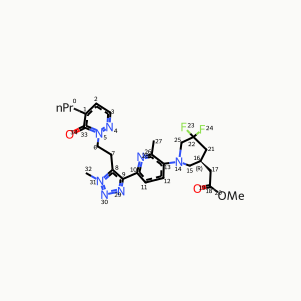 CCCc1ccnn(CCc2c(-c3ccc(N4C[C@H](CC(=O)OC)CC(F)(F)C4)c(C)n3)nnn2C)c1=O